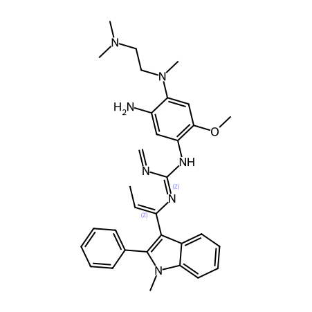 C=N/C(=N\C(=C/C)c1c(-c2ccccc2)n(C)c2ccccc12)Nc1cc(N)c(N(C)CCN(C)C)cc1OC